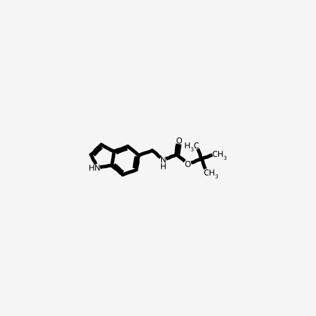 CC(C)(C)OC(=O)NCc1ccc2[nH]ccc2c1